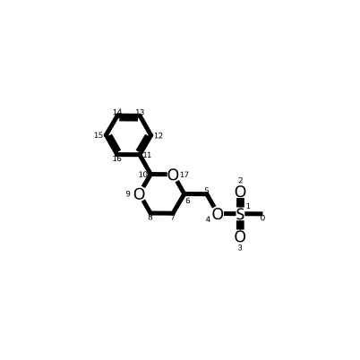 CS(=O)(=O)OCC1CCOC(c2ccccc2)O1